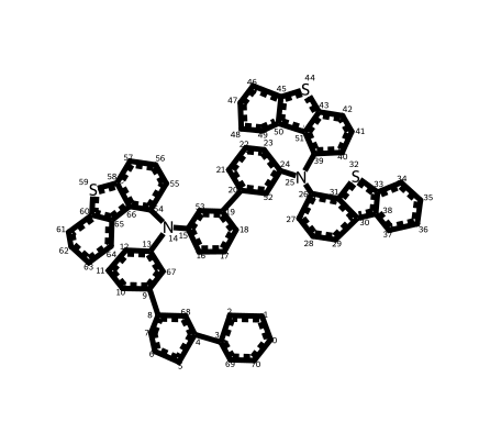 c1ccc(-c2cccc(-c3cccc(N(c4cccc(-c5cccc(N(c6cccc7c6sc6ccccc67)c6cccc7sc8ccccc8c67)c5)c4)c4cccc5sc6ccccc6c45)c3)c2)cc1